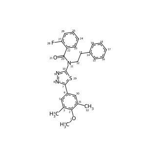 COc1c(C)cc(-c2nnc(N(CCc3ccccc3)C(=O)c3ccccc3F)s2)cc1C